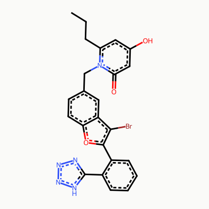 CCCc1cc(O)cc(=O)n1Cc1ccc2oc(-c3ccccc3-c3nnn[nH]3)c(Br)c2c1